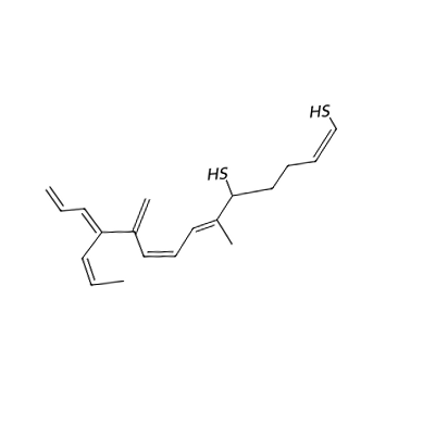 C=C/C=C(\C=C/C)C(=C)/C=C\C=C(/C)C(S)CC/C=C\S